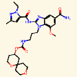 CCn1nc(C)cc1C(=O)Nc1nc2cc(C(N)=O)cc(OC)c2n1CCCNC(=O)O[C@@H]1CCOC2(CCOCC2)C1